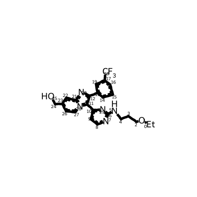 CCOCCCNc1nccc(-c2c(-c3cccc(C(F)(F)F)c3)nc3cc(CO)ccn23)n1